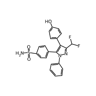 NS(=O)(=O)c1ccc(-c2c(-c3ccc(O)cc3)c(C(F)F)nn2-c2ccccc2)cc1